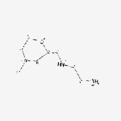 CN1CCOC(CNCCN)C1